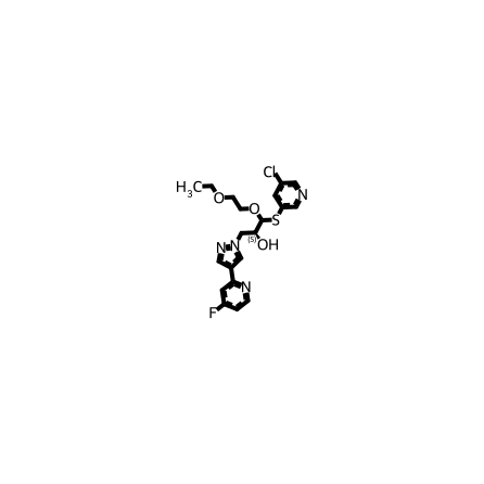 CCOCCOC(Sc1cncc(Cl)c1)[C@@H](O)Cn1cc(-c2cc(F)ccn2)cn1